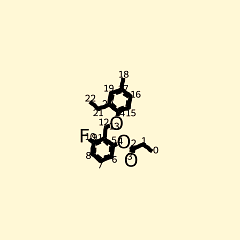 CCC(=O)Oc1cccc(F)c1COc1ccc(C)cc1CC